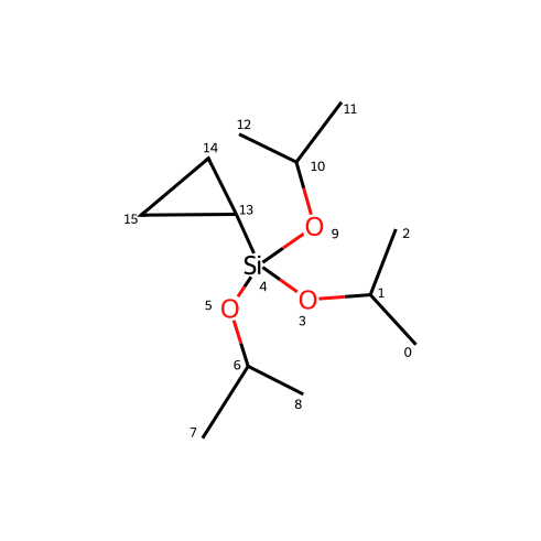 CC(C)O[Si](OC(C)C)(OC(C)C)C1CC1